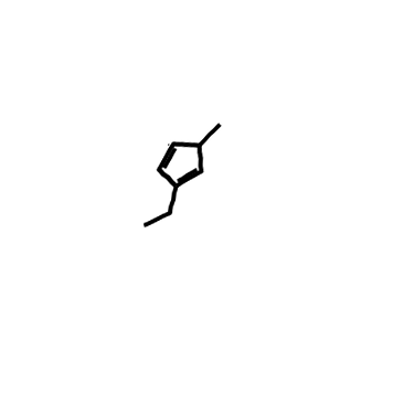 CCC1=CC(C)[C]=C1